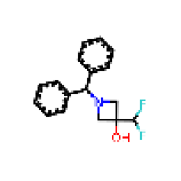 OC1(C(F)F)CN(C(c2ccccc2)c2ccccc2)C1